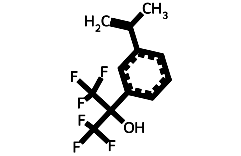 C=C(C)c1cccc(C(O)(C(F)(F)F)C(F)(F)F)c1